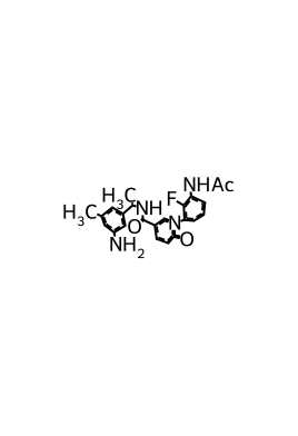 CC(=O)Nc1cccc(-n2cc(C(=O)N[C@H](C)c3cc(C)cc(N)c3)ccc2=O)c1F